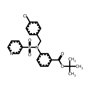 CC(C)(C)OC(=O)c1cccc(N(Cc2ccc(Cl)cc2)S(=O)(=O)c2cccnc2)c1